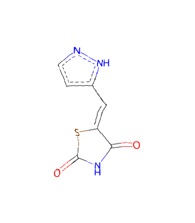 O=C1NC(=O)/C(=C/c2ccn[nH]2)S1